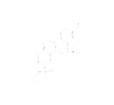 C[C@@H](Nc1ncnc2c1cc(C1(N)CCS(=O)(=O)C1)c(=O)n2C)c1cccc(C(F)F)c1F